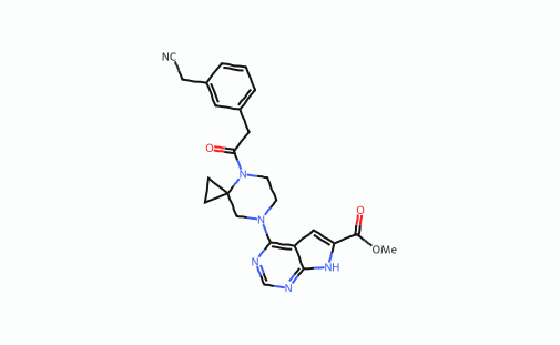 COC(=O)c1cc2c(N3CCN(C(=O)Cc4cccc(CC#N)c4)C4(CC4)C3)ncnc2[nH]1